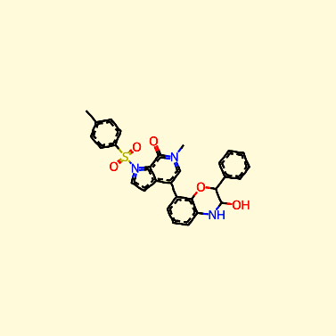 Cc1ccc(S(=O)(=O)n2ccc3c(-c4cccc5c4OC(c4ccccc4)C(O)N5)cn(C)c(=O)c32)cc1